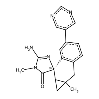 CN1C(=O)[C@]2(N=C1N)c1cc(-c3cncnc3)ccc1CC1(C)CC12